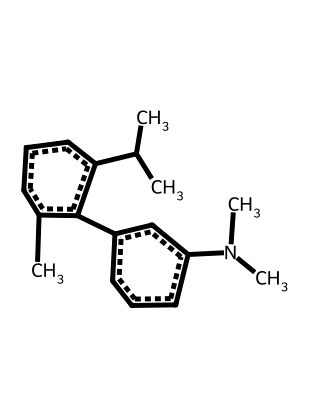 Cc1cccc(C(C)C)c1-c1cccc(N(C)C)c1